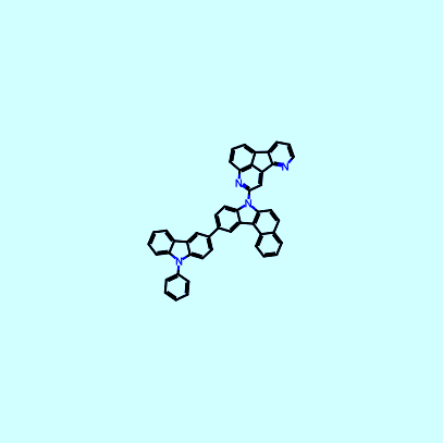 c1ccc(-n2c3ccccc3c3cc(-c4ccc5c(c4)c4c6ccccc6ccc4n5-c4cc5c6c(cccc6n4)-c4cccnc4-5)ccc32)cc1